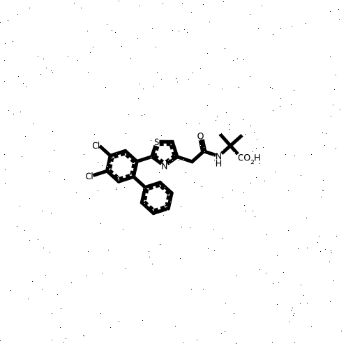 CC(C)(NC(=O)Cc1csc(-c2cc(Cl)c(Cl)cc2-c2ccccc2)n1)C(=O)O